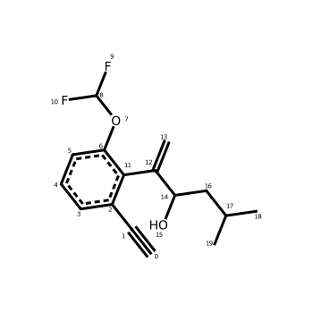 C#Cc1cccc(OC(F)F)c1C(=C)C(O)CC(C)C